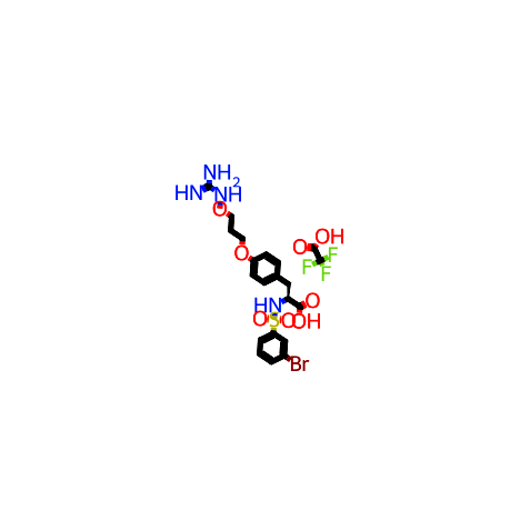 N=C(N)NOCCCOc1ccc(C[C@H](NS(=O)(=O)c2cccc(Br)c2)C(=O)O)cc1.O=C(O)C(F)(F)F